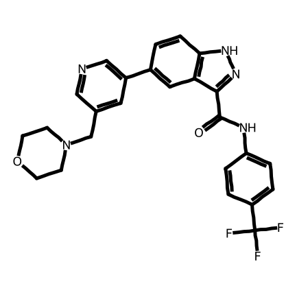 O=C(Nc1ccc(C(F)(F)F)cc1)c1n[nH]c2ccc(-c3cncc(CN4CCOCC4)c3)cc12